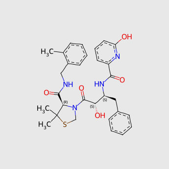 Cc1ccccc1CNC(=O)[C@H]1N(C(=O)[C@@H](O)[C@H](Cc2ccccc2)NC(=O)c2cccc(O)n2)CSC1(C)C